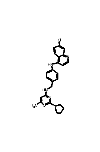 Cc1cc(NCc2ccc(Nc3ccnc4cc(Cl)ccc34)cc2)nc(N2CCCC2)n1